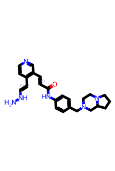 NN/C=C/c1ccncc1/C=C/C(=O)Nc1ccc(CN2CCN3CCCC3C2)cc1